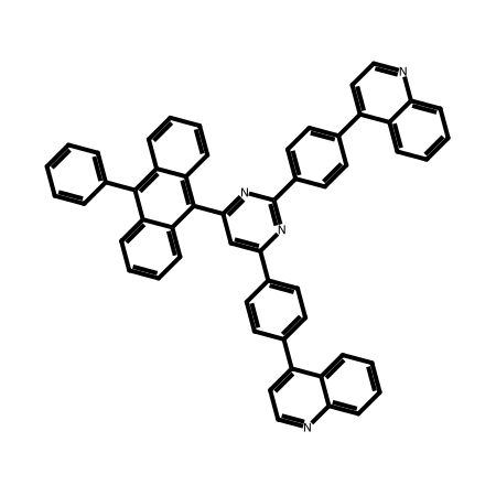 c1ccc(-c2c3ccccc3c(-c3cc(-c4ccc(-c5ccnc6ccccc56)cc4)nc(-c4ccc(-c5ccnc6ccccc56)cc4)n3)c3ccccc23)cc1